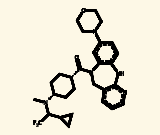 CN(C(C1CC1)C(F)(F)F)[C@H]1CC[C@@H](C(=O)N2Cc3cccnc3Nc3ccc(N4CCOCC4)cc32)CC1